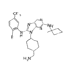 CC1(Nc2ncc3nc(Nc4cc(C(F)(F)F)ccc4F)n(C4CCC(CN)CC4)c3n2)CCC1